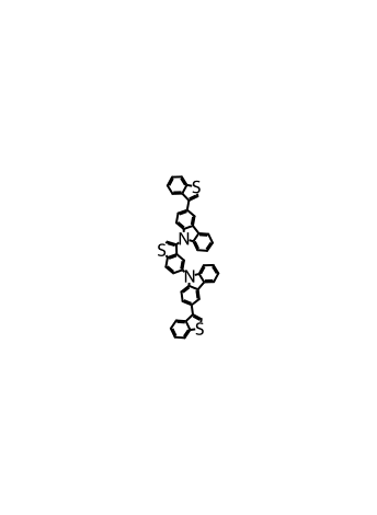 c1ccc2c(-c3ccc4c(c3)c3ccccc3n4-c3ccc4scc(-n5c6ccccc6c6cc(-c7csc8ccccc78)ccc65)c4c3)csc2c1